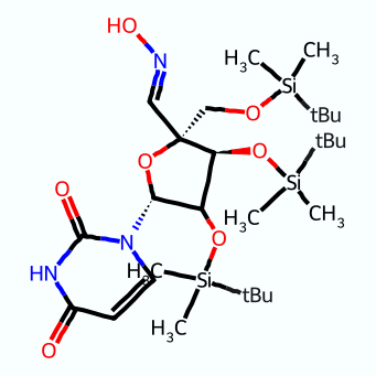 CC(C)(C)[Si](C)(C)OC[C@@]1(/C=N/O)O[C@@H](n2ccc(=O)[nH]c2=O)C(O[Si](C)(C)C(C)(C)C)[C@@H]1O[Si](C)(C)C(C)(C)C